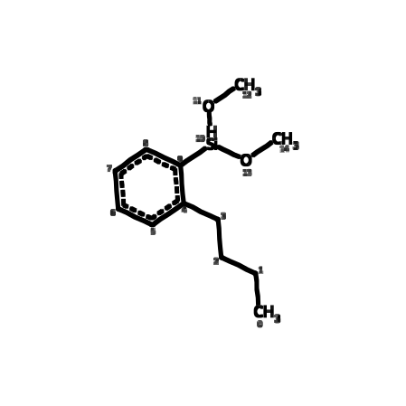 CCCCc1ccccc1[SiH](OC)OC